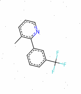 Cc1cccnc1-c1cccc(C(F)(F)F)c1